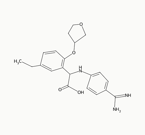 CCc1ccc(OC2CCOC2)c(C(Nc2ccc(C(=N)N)cc2)C(=O)O)c1